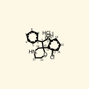 Cl.OCC(c1ccccc1)C1(c2c(Cl)cccc2Cl)CNCCO1